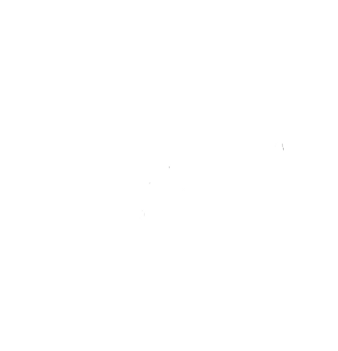 CCC#CC(=O)OCc1ccc(Cl)cc1